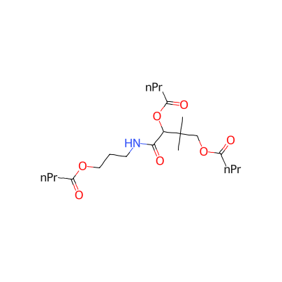 CCCC(=O)OCCCNC(=O)C(OC(=O)CCC)C(C)(C)COC(=O)CCC